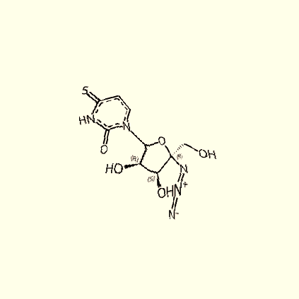 [N-]=[N+]=N[C@]1(CO)OC(n2ccc(=S)[nH]c2=O)[C@H](O)[C@@H]1O